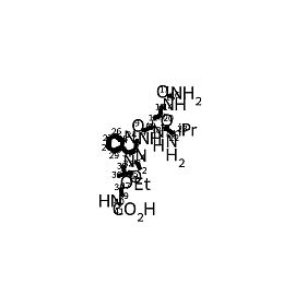 CCOCc1nc2c(NC(=O)[C@H](CCCNC(N)=O)NC(=O)[C@@H](N)C(C)C)nc3ccccc3c2n1CC(C)(C)OCCNC(=O)O